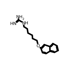 N=C(N)NCCCCCCOc1ccc2ccccc2c1